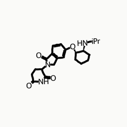 CC(C)N[C@H]1CCCC[C@H]1Oc1ccc2c(c1)CN(C1CCC(=O)NC1=O)C2=O